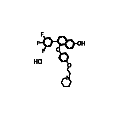 Cl.Oc1ccc2c(Oc3ccc(OCCN4CCCCC4)cc3)c(-c3cc(F)c(F)c(F)c3)ccc2c1